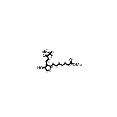 CCCCC(C)(C)C(=O)/C=C/C1C(O)CSC1CCCCCCC(=O)OC